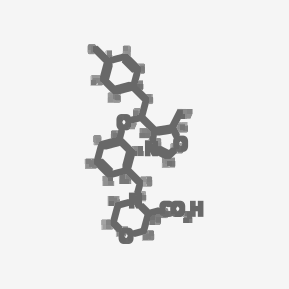 Cc1ccc(CC(Oc2cccc(CN3CCOCC3C(=O)O)c2)c2ncoc2C)cc1